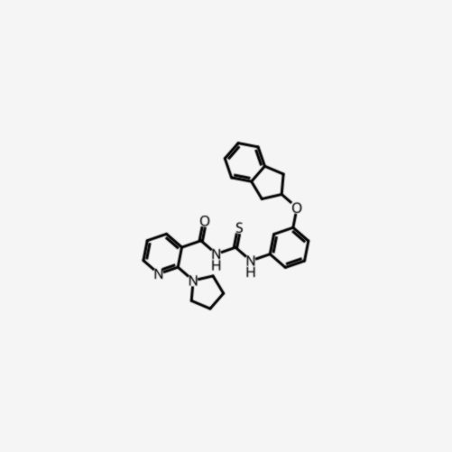 O=C(NC(=S)Nc1cccc(OC2Cc3ccccc3C2)c1)c1cccnc1N1CCCC1